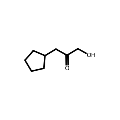 O=C(CO)CC1CCCC1